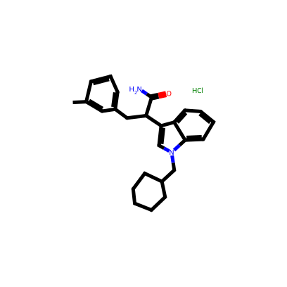 Cc1cccc(CC(C(N)=O)c2cn(CC3CCCCC3)c3ccccc23)c1.Cl